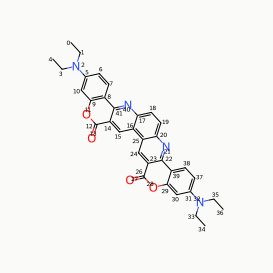 CCN(CC)c1ccc2c(c1)oc(=O)c1cc3c(ccc4nc5c(cc43)c(=O)oc3cc(N(CC)CC)ccc35)nc12